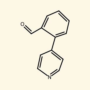 O=Cc1ccccc1-c1ccncc1